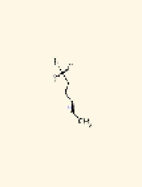 C/C=C/CCC(F)(F)F